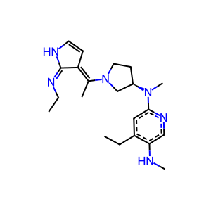 CC/N=C1/NC=C/C1=C(/C)N1CC[C@@H](N(C)c2cc(CC)c(NC)cn2)C1